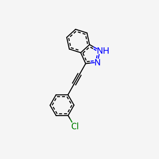 Clc1cccc(C#Cc2n[nH]c3ccccc23)c1